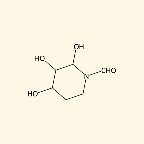 O=CN1CCC(O)C(O)C1O